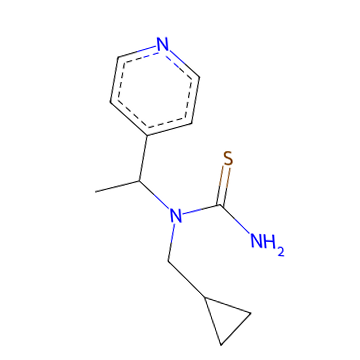 CC(c1ccncc1)N(CC1CC1)C(N)=S